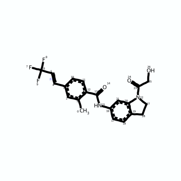 Cc1cc(/C=C/C(F)(F)F)ccc1C(=O)Nc1ccc2c(c1)N(C(=O)CO)CC2